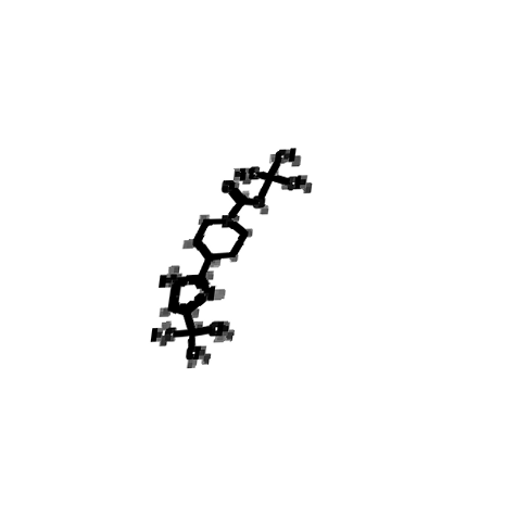 CC(C)(C)OC(=O)N1CCC(c2nc(C(C)(C)C)c[nH]2)CC1